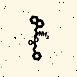 N/C(=C\OC(=O)CCc1ccccc1)Cc1cccc2ccccc12